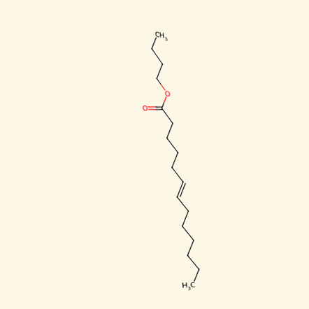 CCCCCC/C=C/CCCCC(=O)OCCCC